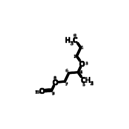 CCCOC(C)CCOC=O